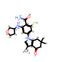 CC1(C)CC(=O)c2c(C(F)(F)F)cn(-c3cc(F)c(C(N)=O)c(NC4CCOC4)c3)c2C1